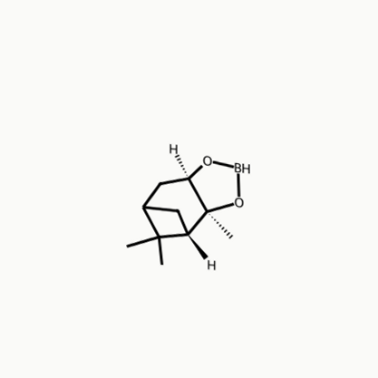 CC1(C)C2C[C@H]3OBO[C@@]3(C)[C@H]1C2